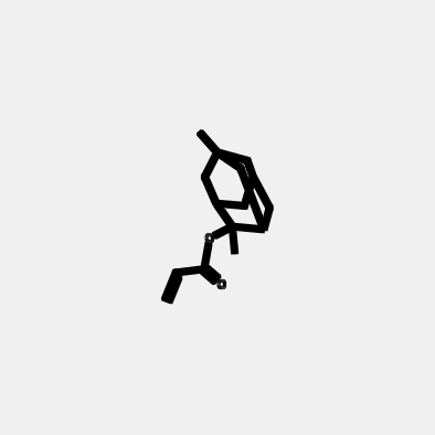 C=CC(=O)OC1(C)C2CC3CC1CC(C)(C3)C2